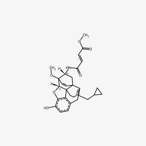 COC(=O)/C=C/C(=O)N[C@@H]1CC23C=CC1(OC)[C@H]1Oc4c(O)ccc5c4C12CC[N+](CC1CC1)=C3C5